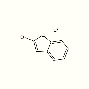 CCc1cc2ccccc2[cH-]1.[Li+]